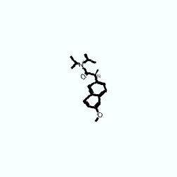 COc1ccc2cc([C@H](C)C(=O)N(C(C)C)C(C)C)ccc2c1